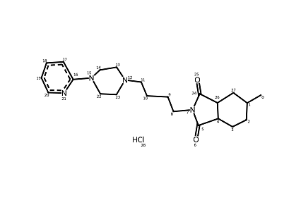 CC1CCC2C(=O)N(CCCCN3CCN(c4ccccn4)CC3)C(=O)C2C1.Cl